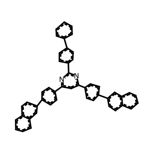 c1ccc(-c2ccc(-c3nc(-c4ccc(-c5ccc6ccccc6c5)cc4)cc(-c4ccc(-c5ccc6ccccc6c5)cc4)n3)cc2)cc1